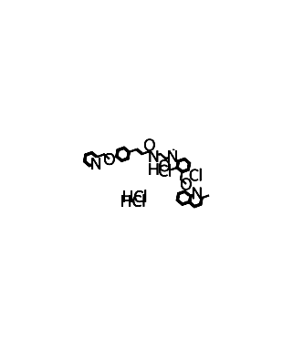 Cc1ccc2cccc(OCc3c(Cl)ccc(N(C)C(=O)CNC(=O)C=Cc4ccc(OCc5ccccn5)cc4)c3Cl)c2n1.Cl.Cl